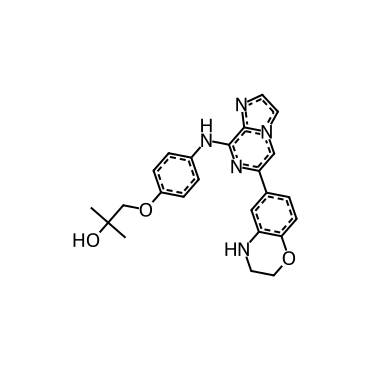 CC(C)(O)COc1ccc(Nc2nc(-c3ccc4c(c3)NCCO4)cn3ccnc23)cc1